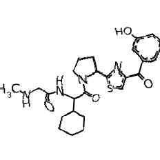 CNCC(=O)NC(C(=O)N1CCCC1c1nc(C(=O)c2cccc(O)c2)cs1)C1CCCCC1